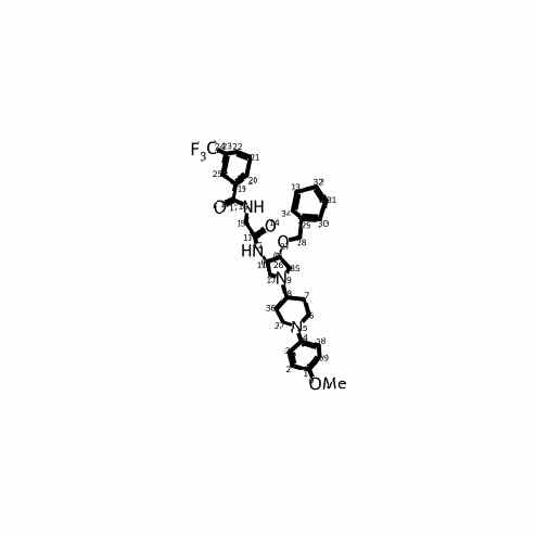 COc1ccc(N2CCC(N3C[C@@H](NC(=O)CNC(=O)c4cccc(C(F)(F)F)c4)[C@H](OCc4ccccc4)C3)CC2)cc1